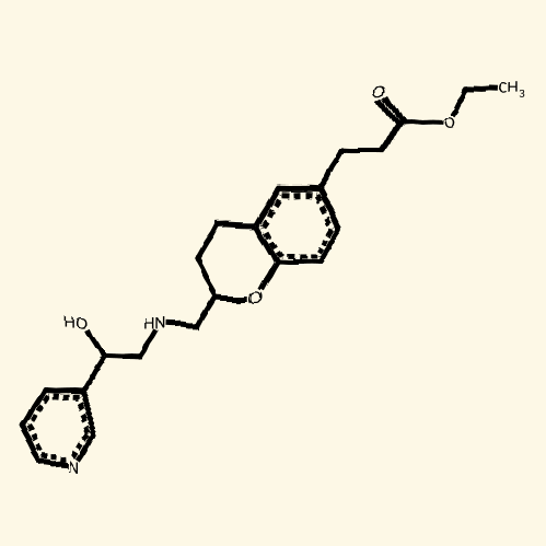 CCOC(=O)CCc1ccc2c(c1)CCC(CNCC(O)c1cccnc1)O2